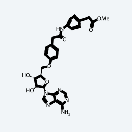 COC(=O)Cc1ccc(NC(=O)Cc2ccc(OC[C@H]3O[C@@H](n4cnc5c(N)ncnc54)[C@H](O)[C@@H]3O)cc2)cc1